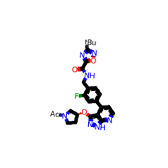 CC(=O)N1CC[C@H](Oc2n[nH]c3nccc(-c4ccc(CNC(=O)c5nc(C(C)(C)C)no5)c(F)c4)c23)C1